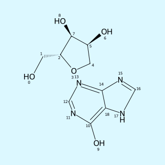 OC[C@H]1OC[C@H](O)[C@@H]1O.Oc1ncnc2nc[nH]c12